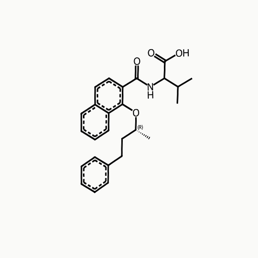 CC(C)C(NC(=O)c1ccc2ccccc2c1O[C@H](C)CCc1ccccc1)C(=O)O